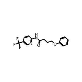 O=C(CCCOc1ccccc1)Nc1ccc(C(F)(F)F)cn1